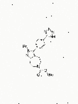 CC(C)n1nc2c(c1-c1ccc(-c3nnn[nH]3)cc1)CCN(C(=O)OC(C)(C)C)CC2